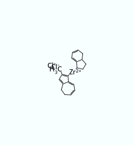 CC1=[C]([Zr+2][CH]2CCC3CC=CC=C32)C2=CC=CCCC2=C1.[Cl-].[Cl-]